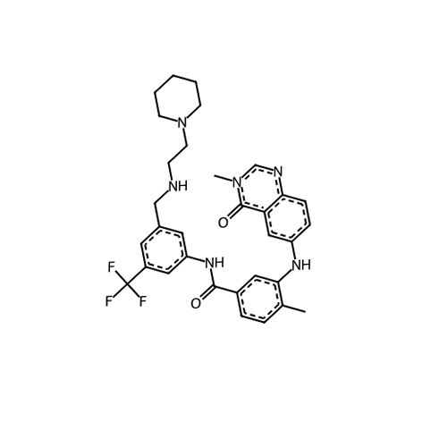 Cc1ccc(C(=O)Nc2cc(CNCCN3CCCCC3)cc(C(F)(F)F)c2)cc1Nc1ccc2ncn(C)c(=O)c2c1